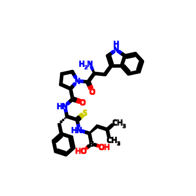 CC(C)C[C@H](NC(=S)[C@H](Cc1ccccc1)NC(=O)C1CCCN1C(=O)[C@@H](N)Cc1c[nH]c2ccccc12)B(O)O